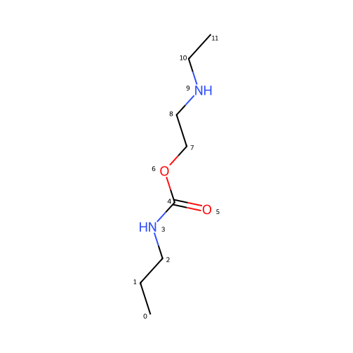 CCCNC(=O)OCCNCC